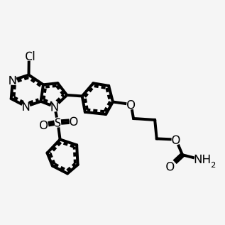 NC(=O)OCCCOc1ccc(-c2cc3c(Cl)ncnc3n2S(=O)(=O)c2ccccc2)cc1